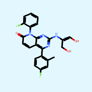 Cc1cc(F)ccc1-c1nc(N/C(=C/O)CO)nc2c1ccc(=O)n2-c1ccccc1F